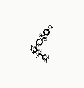 COc1ccc(S(=O)(=O)N2CCN(c3ncnc4c3nc(-c3cnn(C)c3)n4C)CC2)cc1